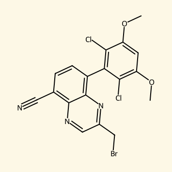 COc1cc(OC)c(Cl)c(-c2ccc(C#N)c3ncc(CBr)nc23)c1Cl